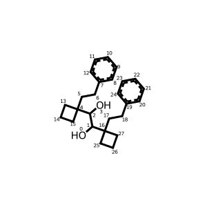 OC(C(O)C1(CCc2ccccc2)CCC1)C1(CCc2ccccc2)CCC1